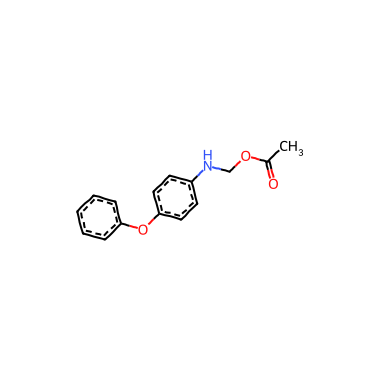 CC(=O)OCNc1ccc(Oc2ccccc2)cc1